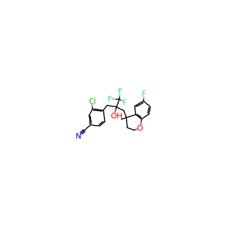 CC1(CC(O)(Cc2ccc(C#N)cc2Cl)C(F)(F)F)CCOc2ccc(F)cc21